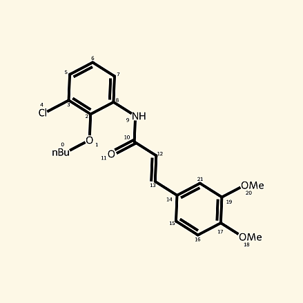 CCCCOc1c(Cl)cccc1NC(=O)/C=C/c1ccc(OC)c(OC)c1